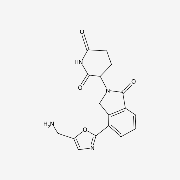 NCc1cnc(-c2cccc3c2CN(C2CCC(=O)NC2=O)C3=O)o1